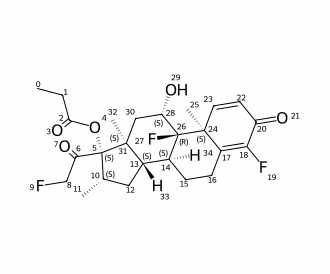 CCC(=O)O[C@@]1(C(=O)CF)[C@@H](C)C[C@H]2[C@@H]3CCC4=C(F)C(=O)C=C[C@]4(C)[C@@]3(F)[C@@H](O)C[C@@]21C